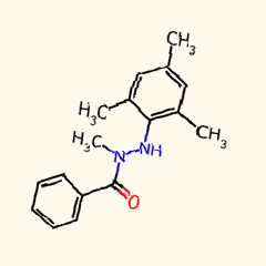 Cc1cc(C)c(NN(C)C(=O)c2ccccc2)c(C)c1